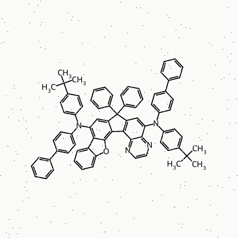 CC(C)(C)c1ccc(N(c2ccc(-c3ccccc3)cc2)c2cc3c(c4nccnc24)-c2c(cc(N(c4ccc(-c5ccccc5)cc4)c4ccc(C(C)(C)C)cc4)c4c2oc2ccccc24)C3(c2ccccc2)c2ccccc2)cc1